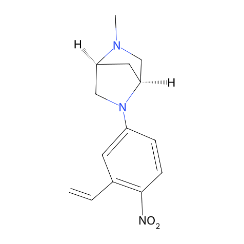 C=Cc1cc(N2C[C@@H]3C[C@H]2CN3C)ccc1[N+](=O)[O-]